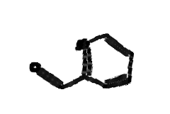 O=C[C]1=[Sb][CH]=CC=C1